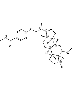 CNC(=O)c1ccc(OC[C@@H](C)[C@H]2CC[C@H]3[C@@H]4CC(OC)C56C[C@H]5CC[C@]6(C)[C@H]4CC[C@]23C)nc1